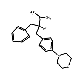 CC(=O)C(Cc1ccccc1)(Cc1ccc(N2CCOCC2)cc1)N(C)C